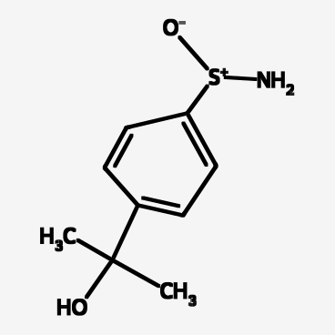 CC(C)(O)c1ccc([S+](N)[O-])cc1